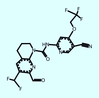 N#Cc1cnc(NC(=O)N2CCCc3cc(C(F)F)c(C=O)nc32)cc1OCC(F)(F)F